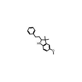 COc1ccc2c(c1)C(C)(C)C(CCc1ccccc1)N2